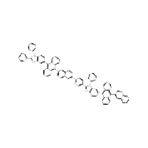 c1ccc(-n2c(-c3ccc(-c4ccc5cc(-c6c7ccccc7c(-c7ccc8c(c7)nc(-c7ccccn7)n8-c7ccccc7)c7ccccc67)ccc5c4)nc3)nc3ccc(-c4c5ccccc5c(-c5ccc6ccccc6c5)c5ccccc45)cc32)cc1